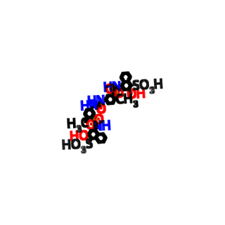 Cc1ccc(NC(=O)Nc2ccc(C)c(S(=O)(=O)Nc3cc(O)c(S(=O)(=O)O)c4ccccc34)c2)cc1S(=O)(=O)Nc1cc(O)c(S(=O)(=O)O)c2ccccc12